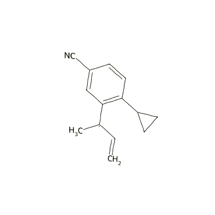 C=C[C](C)c1cc(C#N)ccc1C1CC1